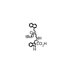 CC(C)(C)OC(=O)N(CCN[C@@H](CC(=O)O)Cc1c[nH]c2ccccc12)CCc1cccc2ccccc12